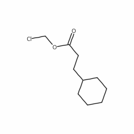 O=C(CCC1CCCCC1)OCCl